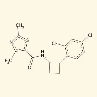 Cc1nc(C(F)(F)F)c(C(=O)N[C@H]2CC[C@H]2c2ccc(Cl)cc2Cl)s1